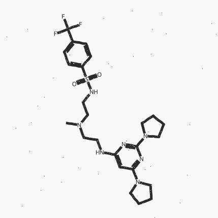 CN(CCNc1cc(N2CCCC2)nc(N2CCCC2)n1)CCNS(=O)(=O)c1ccc(C(F)(F)F)cc1